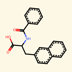 O=C(NC(Cc1ccc2ccccc2c1)C(=O)O)c1ccccc1